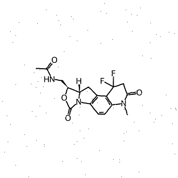 CC(=O)NC[C@@H]1OC(=O)N2c3ccc4c(c3C[C@@H]12)C(F)(F)CC(=O)N4C